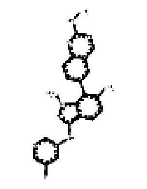 CNc1ncc2cc(-c3c(C)ccc4c(Nc5cncc(F)c5)nn(C)c34)ccc2n1